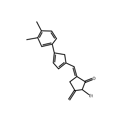 C=C1C/C(=C\C2=CC=C(c3ccc(C)c(C)c3)C2)C(=O)C1CC